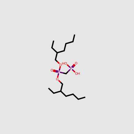 CCCCC(CC)COP(=O)(CP(=O)(O)O)OCC(CC)CCCC